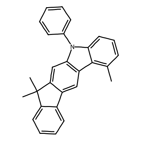 Cc1cccc2c1c1cc3c(cc1n2-c1ccccc1)C(C)(C)c1ccccc1-3